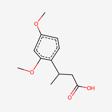 COc1ccc(C(C)CC(=O)O)c(OC)c1